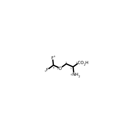 NC(COC(F)F)C(=O)O